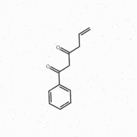 C=CCC(=O)CC(=O)c1ccccc1